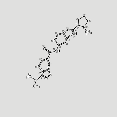 CC(O)c1ncc2cc(C(=O)Nc3cc4[nH]c([C@H]5CCCN5C)cc4cn3)ccn12